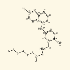 CCCCCCC(C)CNCc1cc(Nc2ccnc3cc(I)ccc23)ccc1O